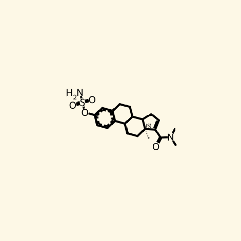 CN(C)C(=O)C1=CCC2C3CCc4cc(OS(N)(=O)=O)ccc4C3CC[C@]12C